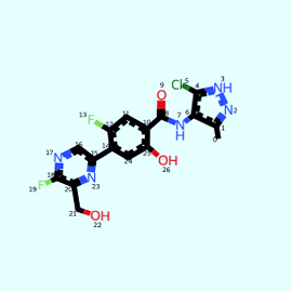 Cc1n[nH]c(Cl)c1NC(=O)c1cc(F)c(-c2cnc(F)c(CO)n2)cc1O